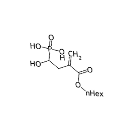 C=C(CC(O)P(=O)(O)O)C(=O)OCCCCCC